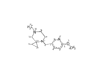 COc1ccc(CN2CCN(C)CC23CC3)cn1